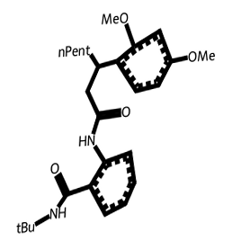 CCCCCC(CC(=O)Nc1ccccc1C(=O)NC(C)(C)C)c1ccc(OC)cc1OC